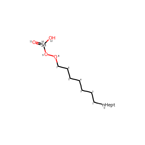 CCCCCCCCCCCCCCO[O][Sn](=[O])[OH]